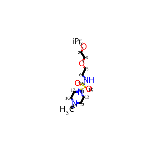 CC(C)OCCOCCNS(=O)(=O)N1CCN(C)CC1